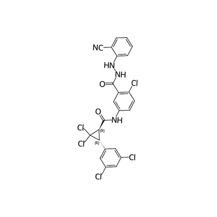 N#Cc1ccccc1NNC(=O)c1cc(NC(=O)[C@H]2[C@H](c3cc(Cl)cc(Cl)c3)C2(Cl)Cl)ccc1Cl